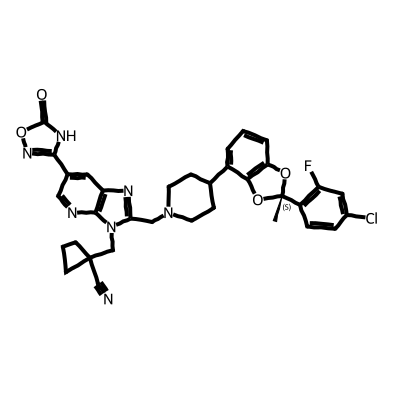 C[C@]1(c2ccc(Cl)cc2F)Oc2cccc(C3CCN(Cc4nc5cc(-c6noc(=O)[nH]6)cnc5n4CC4(C#N)CCC4)CC3)c2O1